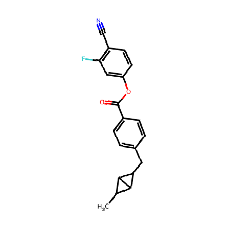 CC1C2C(Cc3ccc(C(=O)Oc4ccc(C#N)c(F)c4)cc3)C12